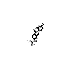 CCCC(Nc1ccc2c(c1)CN(C1CCC(=O)NC1=O)C2=O)C(=O)O